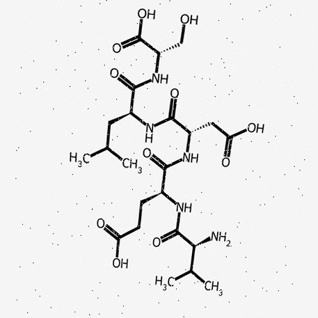 CC(C)C[C@H](NC(=O)[C@H](CC(=O)O)NC(=O)[C@H](CCC(=O)O)NC(=O)[C@@H](N)C(C)C)C(=O)N[C@@H](CO)C(=O)O